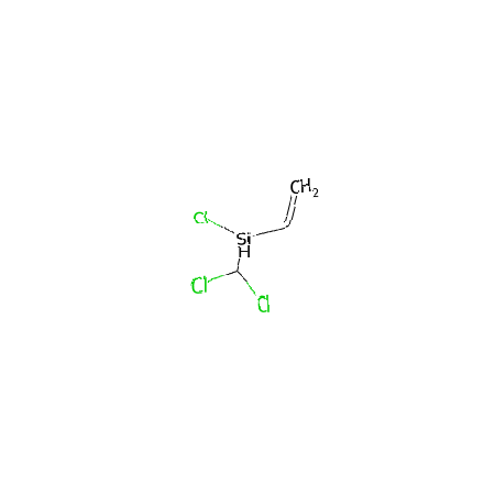 C=C[SiH](Cl)C(Cl)Cl